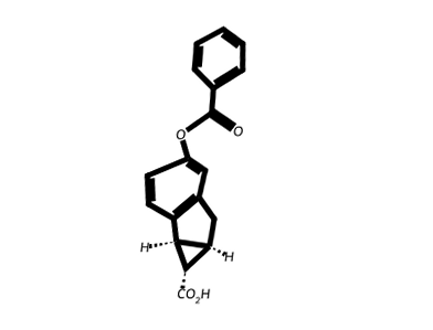 O=C(Oc1ccc2c(c1)C[C@H]1[C@H](C(=O)O)[C@@H]21)c1ccccc1